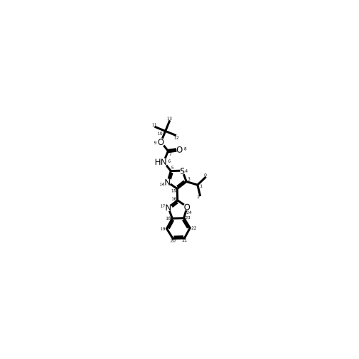 CC(C)c1sc(NC(=O)OC(C)(C)C)nc1-c1nc2ccccc2o1